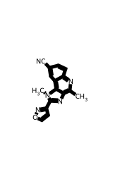 Cc1nc2ccc(C#N)cc2c2c1nc(-c1ccon1)n2C